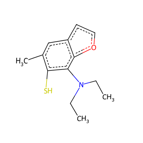 CCN(CC)c1c(S)c(C)cc2ccoc12